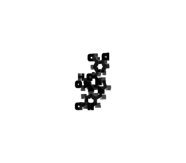 C=C(c1ccc(Cl)c(Cl)c1)N1CCN(Cc2ccc(Cl)nc2)C1=N[N+](=O)[O-]